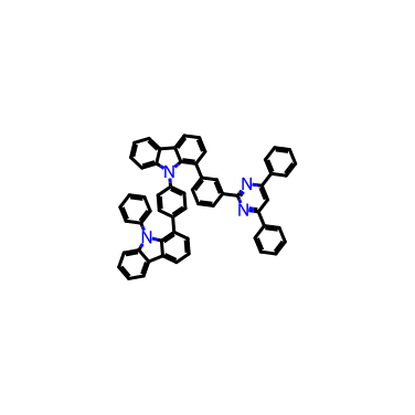 c1ccc(-c2cc(-c3ccccc3)nc(-c3cccc(-c4cccc5c6ccccc6n(-c6ccc(-c7cccc8c9ccccc9n(-c9ccccc9)c78)cc6)c45)c3)n2)cc1